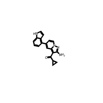 Nc1nn2ccc(-c3cccc4[nH]ccc34)cc2c1C(=O)C1CC1